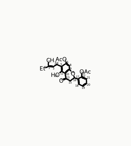 CC/C(C)=C/Cc1c(OC(C)=O)cc2c(c1O)C(=O)CC(c1ccccc1OC(C)=O)O2